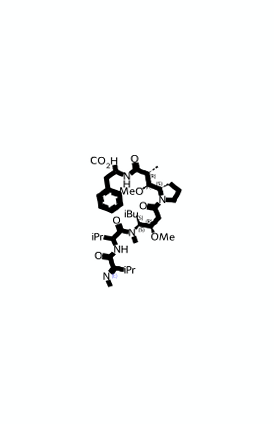 CC[C@H](C)[C@@H]([C@@H](CC(=O)N1CCC[C@H]1[C@H](OC)[C@@H](C)C(=O)NC(Cc1ccccc1)C(=O)O)OC)N(C)C(=O)C(NC(=O)/C(=N/C)C(C)C)C(C)C